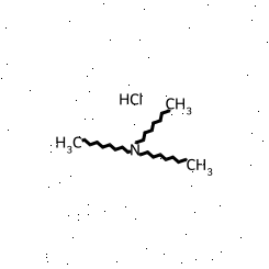 CCCCCCCCCN(CCCCCCCCC)CCCCCCCCC.Cl